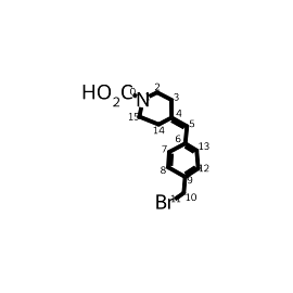 O=C(O)N1CCC(=Cc2ccc(CBr)cc2)CC1